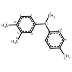 Cc1ccc(N(C)c2ccc(C)c(C)c2)nc1